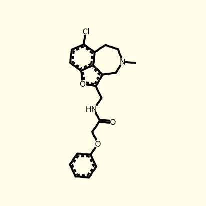 CN1CCc2c(Cl)ccc3oc(CNC(=O)COc4ccccc4)c(c23)C1